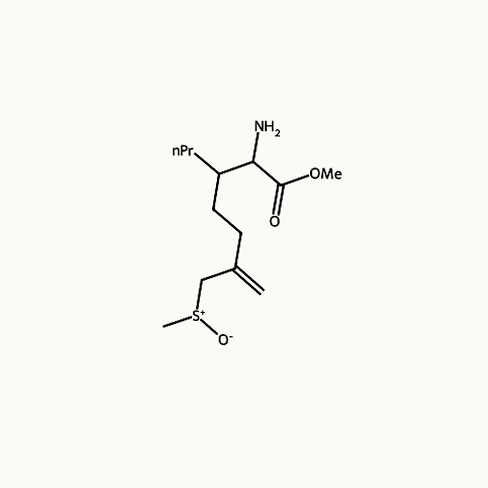 C=C(CCC(CCC)C(N)C(=O)OC)C[S+](C)[O-]